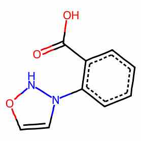 O=C(O)c1ccccc1N1C=CON1